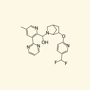 Cc1cnc(C(O)N2CC3CC(Oc4ccc(C(F)F)cn4)C2C3)c(-c2ncccn2)c1